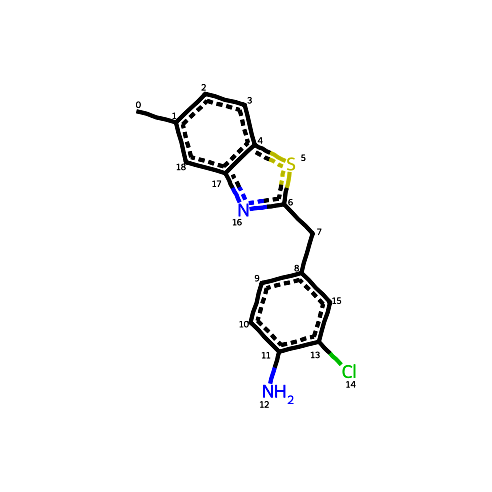 Cc1ccc2sc(Cc3ccc(N)c(Cl)c3)nc2c1